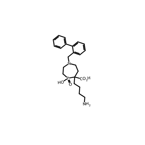 NCCCCC1(C(=O)O)CCN(Cc2ccccc2-c2ccccc2)CCP1(=O)O